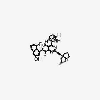 Oc1cc(-c2nnc3c(N4C[C@H]5CC[C@@H]4CN5)nc(C#C[C@@]45CCCN4C[C@H](F)C5)nc3c2F)c2c(F)cccc2c1